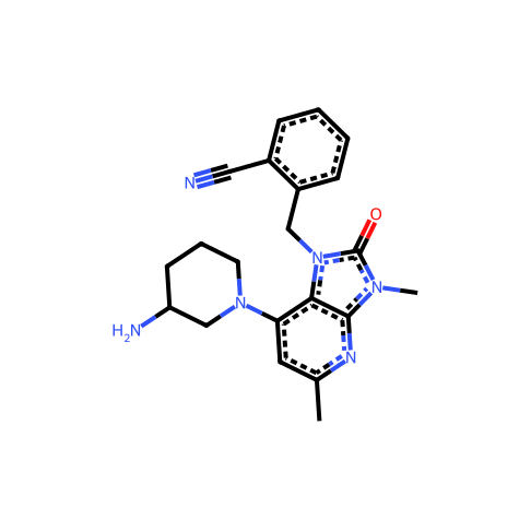 Cc1cc(N2CCCC(N)C2)c2c(n1)n(C)c(=O)n2Cc1ccccc1C#N